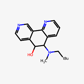 CN(CC(C)(C)C)C1c2cccnc2-c2cnccc2C1O